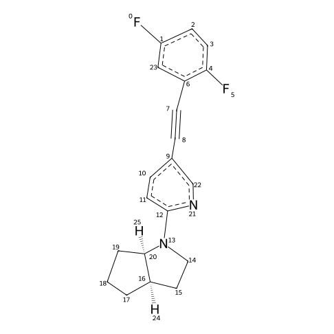 Fc1ccc(F)c(C#Cc2ccc(N3CC[C@H]4CCC[C@H]43)nc2)c1